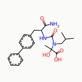 CC(C)CN(C(=O)NC(Cc1ccc(-c2ccccc2)cc1)C(N)=O)C(C)(O)C(=O)O